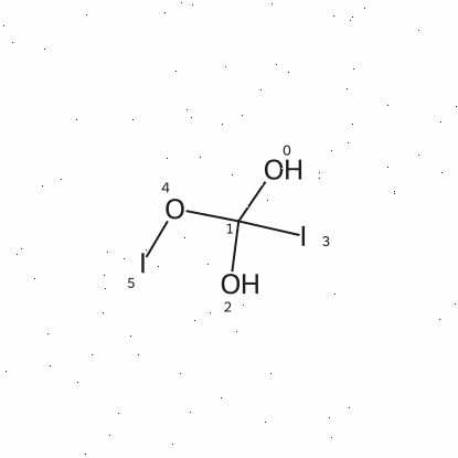 OC(O)(I)OI